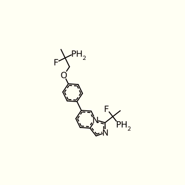 CC(F)(P)COc1ccc(-c2ccc3cnc(C(C)(F)P)n3c2)cc1